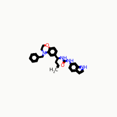 C=CCC(NC(=O)Nc1ccc2cc[nH]c2c1)c1ccc2c(c1)N(Cc1ccccc1)CCO2